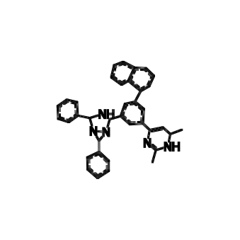 CC1=NC(c2cc(-c3cccc4ccccc34)cc(C3NC(c4ccccc4)N4C(c5ccccc5)N34)c2)=CC(C)N1